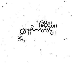 COC[C@@H]1CCC[C@H](CNC(=O)CCCCOC2OC(CO)C(O)C(O)C2NC(C)=O)O1